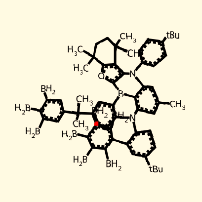 Bc1cc(C(C)(C)c2ccc3c(c2)B2c4oc5c(c4N(c4ccc(C(C)(C)C)cc4)c4cc(C)cc(c42)N3c2ccc(C(C)(C)C)cc2-c2c(B)c(B)c(B)c(B)c2B)C(C)(C)CCC5(C)C)cc(B)c1B